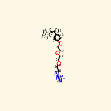 CC(C)(C)c1ccc(OCCOCCOCCN=[N+]=[N-])cc1